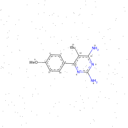 COc1ccc(-c2nc(N)nc(N)c2C(C)(C)C)cc1